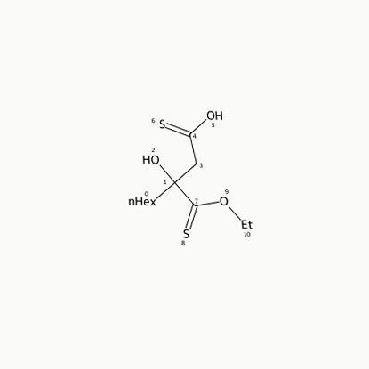 CCCCCCC(O)(CC(O)=S)C(=S)OCC